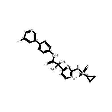 CC(C)(C(=O)Nc1ccc(-c2cncc(F)c2)cc1)c1ccnc(NS(=O)(=O)C2CC2)n1